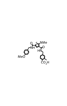 CNc1sc(C(=O)NCc2ccc(OC)cc2)cc1C(=O)NCc1ccc(C(=O)O)c(C)c1